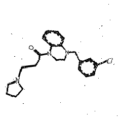 O=C(CCN1CCCC1)N1CCN(Cc2cccc(Cl)c2)c2ccccc21